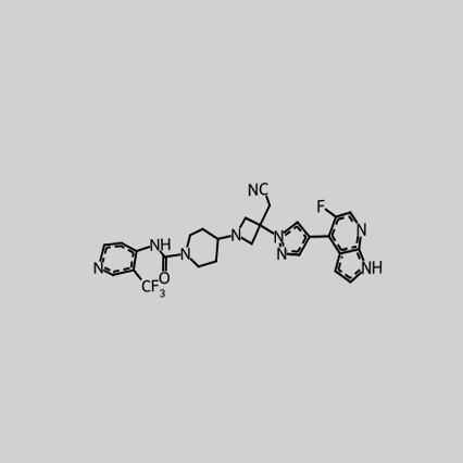 N#CCC1(n2cc(-c3c(F)cnc4[nH]ccc34)cn2)CN(C2CCN(C(=O)Nc3ccncc3C(F)(F)F)CC2)C1